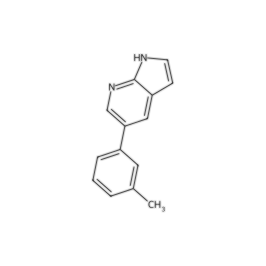 Cc1cccc(-c2cnc3[nH]ccc3c2)c1